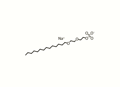 CCCCCCCCCCCCCCOCCOCCOS(=O)(=O)[O-].[Na+]